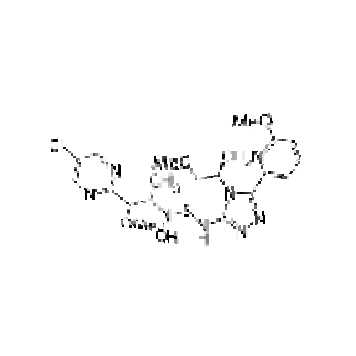 COC[C@@H](C)n1c(NSN(O)C(C)C(OC)c2ncc(Cl)cn2)nnc1-c1cccc(OC)n1